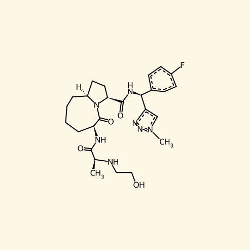 C[C@H](NCCO)C(=O)N[C@H]1CCCC[C@H]2CC[C@@H](C(=O)N[C@@H](c3ccc(F)cc3)c3cn(C)nn3)N2C1=O